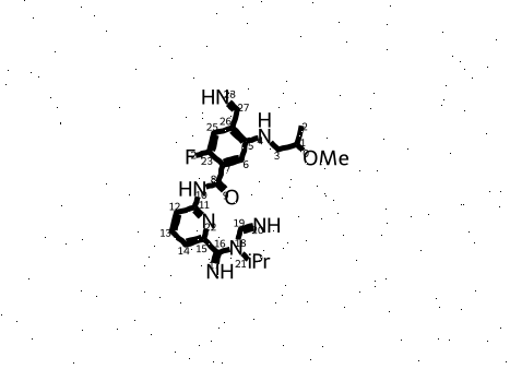 COC(C)CNc1cc(C(=O)Nc2cccc(C(=N)N(C=N)C(C)C)n2)c(F)cc1C=N